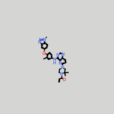 C=CC(=O)N1CCN(c2ccc3ncnc(Nc4ccc(Oc5ccc6c(c5)nnn6C)c(C)c4)c3n2)CC1(C)C